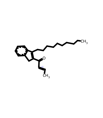 C/C=C/C(=O)C1=C(CCCCCCCCCC)c2ccccc2C1